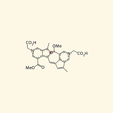 COC(=O)c1c[n+](CC(=O)O)cc2c1/C(=C\c1cc(C)c3cn(CC(=O)O)cc(C(=O)OC)c1-3)C=C2C